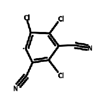 N#Cc1[c]c(Cl)c(Cl)c(C#N)c1Cl